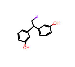 Oc1cccc(C(CI)c2cccc(O)c2)c1